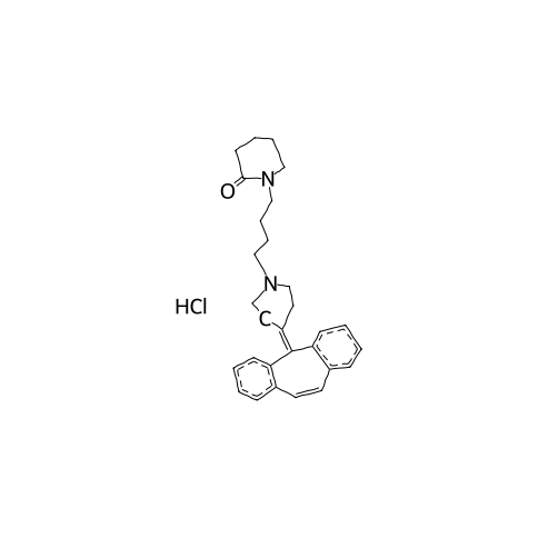 Cl.O=C1CCCCN1CCCCN1CCC(=C2c3ccccc3C=Cc3ccccc32)CC1